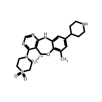 Cc1cc(C2CCNCC2)cc2c1O[C@H](C)c1c(ncnc1N1CCS(=O)(=O)CC1)N2